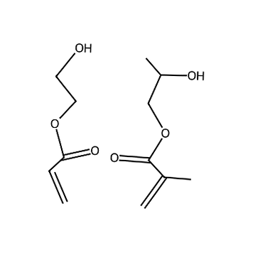 C=C(C)C(=O)OCC(C)O.C=CC(=O)OCCO